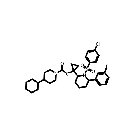 O=C(OC1(C2CCCC(c3cccc(F)c3)N2S(=O)(=O)c2ccc(Cl)cc2)CC1)N1CCC(C2CCCCC2)CC1